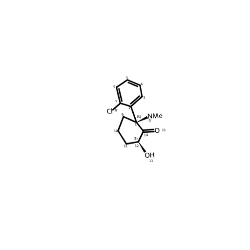 CN[C@]1(c2ccccc2Cl)CCC[C@H](O)C1=O